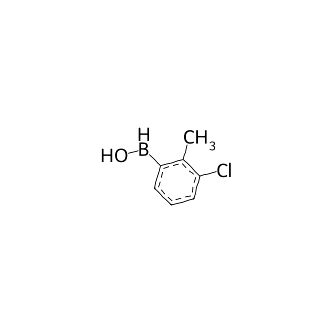 Cc1c(Cl)cccc1BO